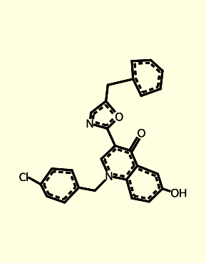 O=c1c(-c2ncc(Cc3ccccc3)o2)cn(Cc2ccc(Cl)cc2)c2ccc(O)cc12